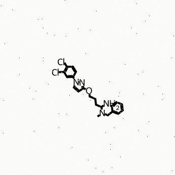 CN(Cc1ccccc1)C(N)CCCOc1ccn(-c2ccc(Cl)c(Cl)c2)n1